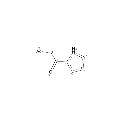 CC(=O)CC(=O)c1ccc[nH]1